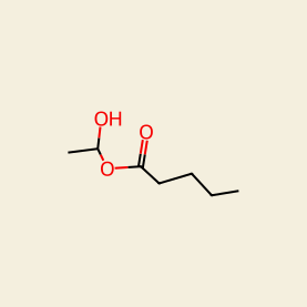 CCCCC(=O)OC(C)O